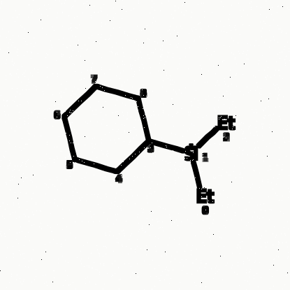 CC[Si](CC)C1CCCCC1